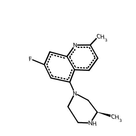 Cc1ccc2c(N3CCN[C@H](C)C3)cc(F)cc2n1